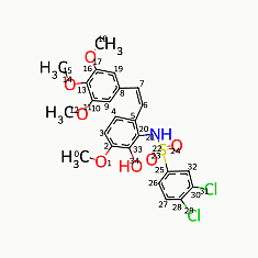 COc1ccc(/C=C\c2cc(OC)c(OC)c(OC)c2)c(NS(=O)(=O)c2ccc(Cl)c(Cl)c2)c1O